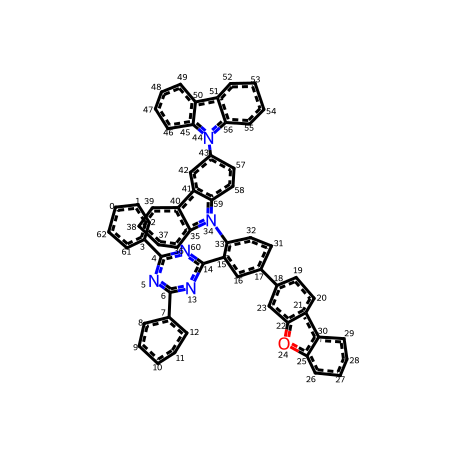 c1ccc(-c2nc(-c3ccccc3)nc(-c3cc(-c4ccc5c(c4)oc4ccccc45)ccc3-n3c4ccccc4c4cc(-n5c6ccccc6c6ccccc65)ccc43)n2)cc1